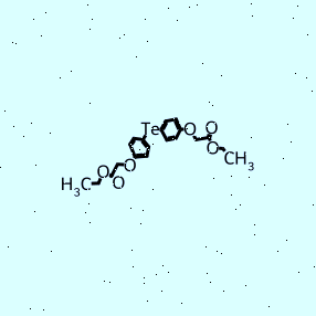 CCOC(=O)COc1ccc([Te]c2ccc(OCC(=O)OCC)cc2)cc1